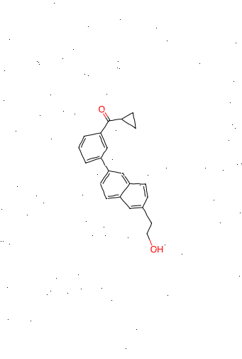 O=C(c1cccc(-c2ccc3cc(CCO)ccc3c2)c1)C1CC1